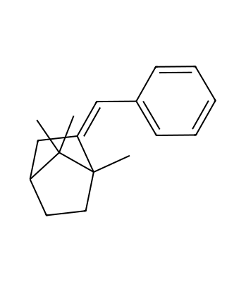 CC12CCC(CC1=Cc1ccccc1)C2(C)C